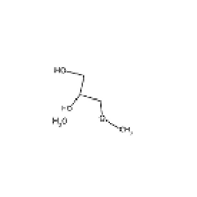 COCC(O)CO.O